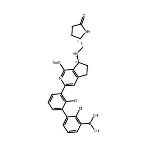 COc1nc(-c2cccc(-c3cccc(B(O)O)c3Cl)c2Cl)cc2c1[C@@H](NC[C@@H]1CCC(=O)N1)CC2